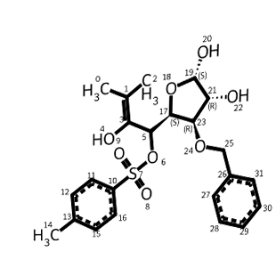 CC(C)=C(O)C(OS(=O)(=O)c1ccc(C)cc1)[C@H]1O[C@H](O)[C@H](O)[C@H]1OCc1ccccc1